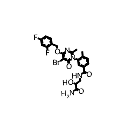 Cc1ccc(C(=O)NCC(O)C(N)=O)cc1-n1c(C)nc(OCc2ccc(F)cc2F)c(Br)c1=O